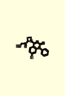 O=c1nc(N2CCC2NCO)c2ccc(Cl)cc2n1-c1ccccc1